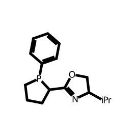 CC(C)C1COC(C2CCCP2c2ccccc2)=N1